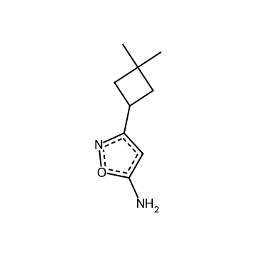 CC1(C)CC(c2cc(N)on2)C1